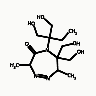 CCC(CO)(CO)N1C(=O)C(C)N=NC(C)C1(CO)CO